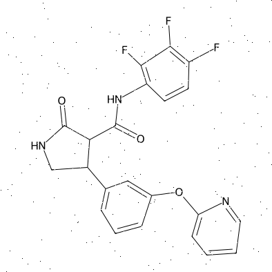 O=C1NCC(c2cccc(Oc3ccccn3)c2)C1C(=O)Nc1ccc(F)c(F)c1F